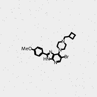 COc1ccc(-c2nc3c(N4CCN(CC5CCC5)CC4)c(Br)cnc3[nH]2)cc1